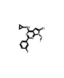 CCc1cc2c(NC3CC3)nc(-c3cccc(F)c3)nc2n1SI